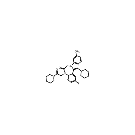 CC(=O)Oc1ccc2c(C3CCCCC3)c3n(c2c1)CC(=O)N(CC(=O)N1CCCCC1)c1ccc(F)cc1-3